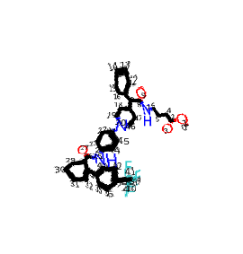 COC(=O)CCCNC(=O)C(c1ccccc1)C1CCN(c2ccc(NC(=O)c3ccccc3-c3ccc(C(F)(F)F)cc3)cc2)CC1